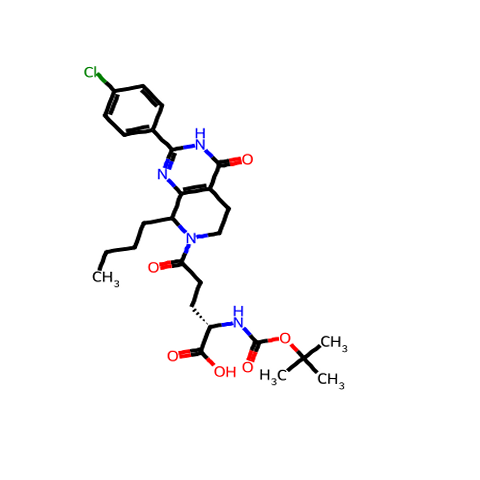 CCCCC1c2nc(-c3ccc(Cl)cc3)[nH]c(=O)c2CCN1C(=O)CC[C@H](NC(=O)OC(C)(C)C)C(=O)O